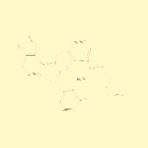 Cc1cccc2nc(C(S)c3ncnc4[nH]cnc34)n(-c3ccccc3NCCCN(C)C)c(=O)c12